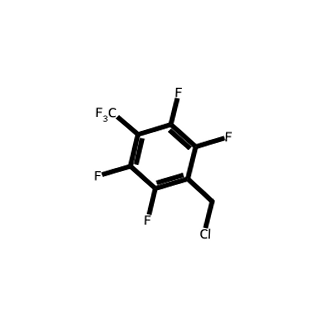 Fc1c(F)c(C(F)(F)F)c(F)c(F)c1CCl